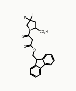 O=C(CC(=O)N1CC(F)(F)CC1C(=O)O)OCC1c2ccccc2-c2ccccc21